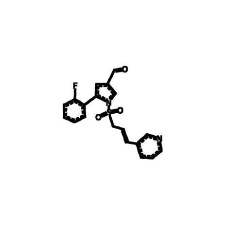 O=Cc1cc(-c2ccccc2F)n(S(=O)(=O)CC=Cc2cccnc2)c1